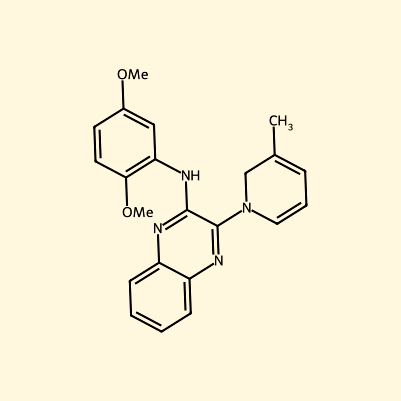 COc1ccc(OC)c(Nc2nc3ccccc3nc2N2C=CC=C(C)C2)c1